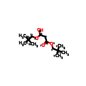 CC(C)(C)COC(=O)CC(O)OCC(C)(C)C